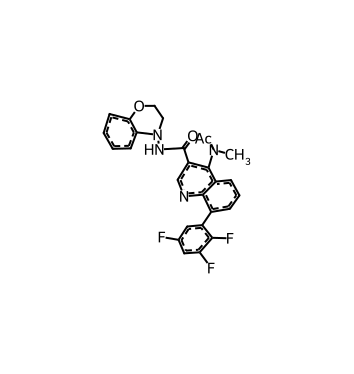 CC(=O)N(C)c1c(C(=O)NN2CCOc3ccccc32)cnc2c(-c3cc(F)cc(F)c3F)cccc12